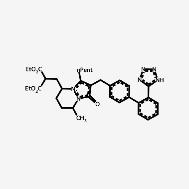 CCCCCc1c(Cc2ccc(-c3ccccc3-c3nnn[nH]3)cc2)c(=O)n2n1C(CC(C(=O)OCC)C(=O)OCC)CCC2C